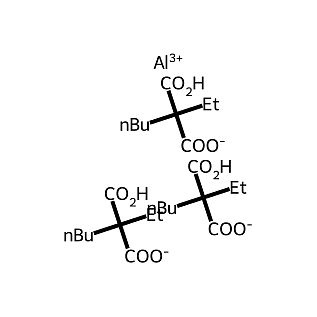 CCCCC(CC)(C(=O)[O-])C(=O)O.CCCCC(CC)(C(=O)[O-])C(=O)O.CCCCC(CC)(C(=O)[O-])C(=O)O.[Al+3]